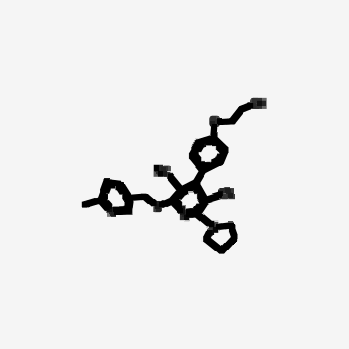 Cc1ccc(CSc2nc(N3CCCC3)c(C#N)c(-c3ccc(OCCO)cc3)c2C#N)cn1